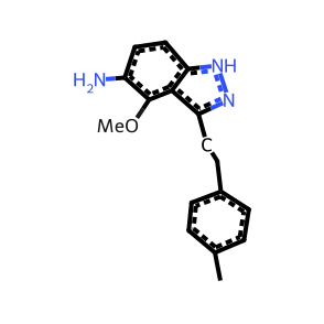 COc1c(N)ccc2[nH]nc(CCc3ccc(C)cc3)c12